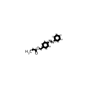 C=CC(=O)OCc1ccc(/N=N/c2ccccc2)cc1